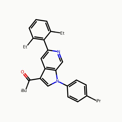 CCc1cccc(CC)c1-c1cc2c(C(=O)C(C)CC)cn(-c3ccc(C(C)C)cc3)c2cn1